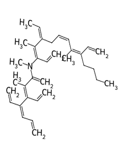 C=C/C=C(C=C)\C(C=C)=C(/C)C(=C)N(C)/C(C=C)=C(C)/C(=C\C)C/C=C\C(C)=C(/C=C)CCCC